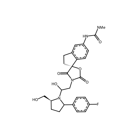 CNC(=O)Nc1ccc2c(c1)CC[C@@]21OC(=O)N(CC(O)N2C(c3ccc(F)cc3)CC[C@H]2CO)C1=O